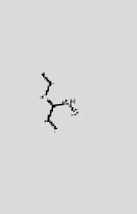 CCOC(CC)N[SiH3]